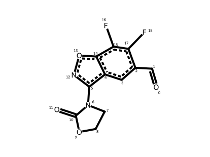 O=Cc1cc2c(N3CCOC3=O)noc2c(F)c1F